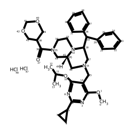 COc1nc(C2CC2)nc(OC(C)C)c1CN1CC(C(c2ccccc2)c2ccccc2)N2CCN(C(=O)C3COCOC3)C[C@H]2C1.Cl.Cl